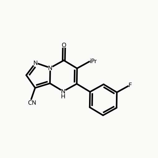 CC(C)c1c(-c2cccc(F)c2)[nH]c2c(C#N)cnn2c1=O